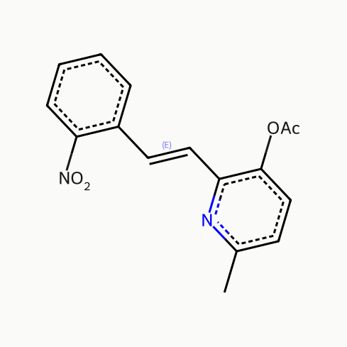 CC(=O)Oc1ccc(C)nc1/C=C/c1ccccc1[N+](=O)[O-]